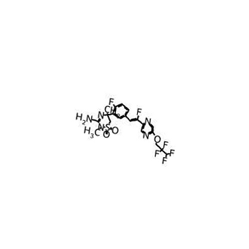 CN1C(N)=N[C@](C)(c2cc(/C=C(\F)c3cnc(OCC(F)(F)C(F)F)cn3)ccc2F)CS1(=O)=O